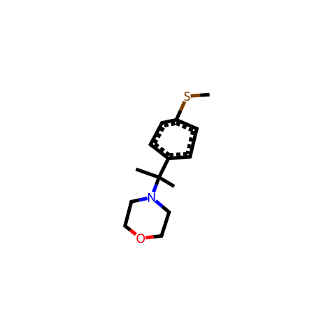 CSc1ccc(C(C)(C)N2CCOCC2)cc1